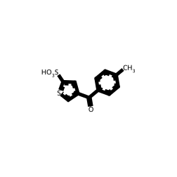 Cc1ccc(C(=O)c2csc(S(=O)(=O)O)c2)cc1